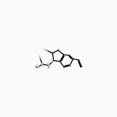 C=Cc1ccc2c(c1)CC(F)[C@@H]2N[S+]([O-])C(C)(C)C